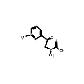 Cc1cccc(C(=O)CN(C)C(=O)O)n1